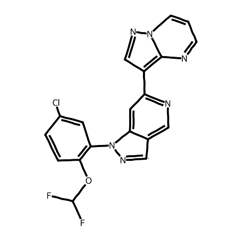 FC(F)Oc1ccc(Cl)cc1-n1n[c]c2cnc(-c3cnn4cccnc34)cc21